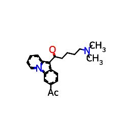 CC(=O)c1ccc2c(C(=O)CCCCN(C)C)c3ccccn3c2c1